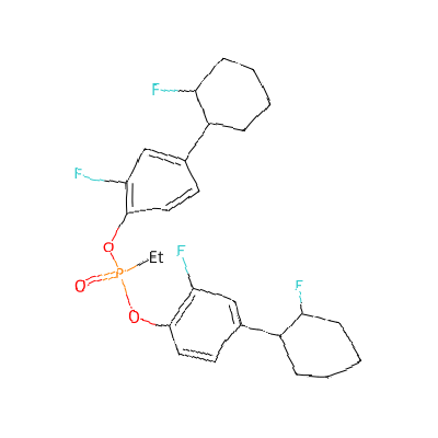 CCP(=O)(Oc1ccc(C2CCCCC2F)cc1F)Oc1ccc(C2CCCCC2F)cc1F